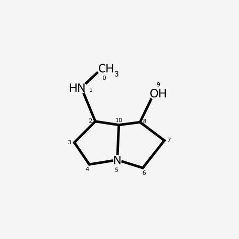 CNC1CCN2CCC(O)C12